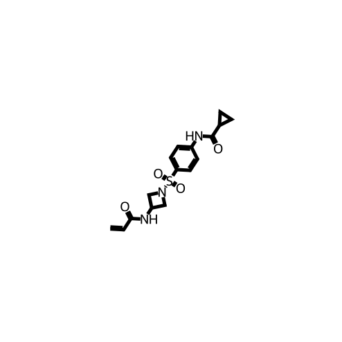 C=CC(=O)NC1CN(S(=O)(=O)c2ccc(NC(=O)C3CC3)cc2)C1